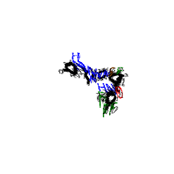 Cc1ccc(Nc2cc(C)nc(N3CCN(Sc4cc(C(=O)Nc5cc(F)c(F)c(F)c5)ccc4F)CC3)n2)cc1